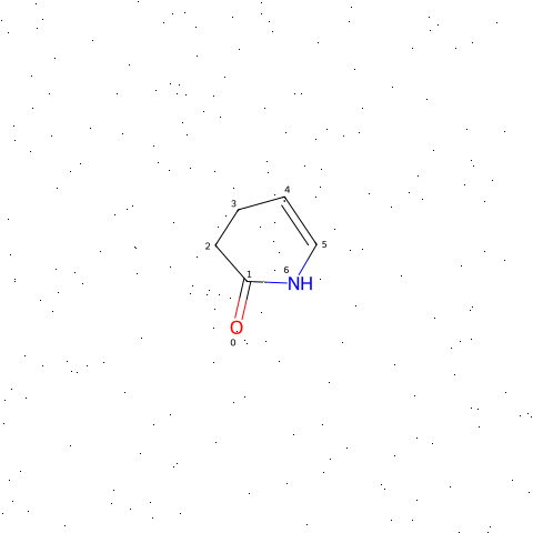 O=C1CC[C]=CN1